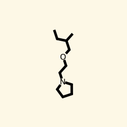 CCC(C)COCCN1CCCC1